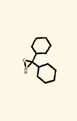 C1CCC(C2(C3CCCCC3)NO2)CC1